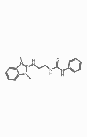 CN1c2ccccc2N(C)P1NCCNC(=S)Nc1ccccc1